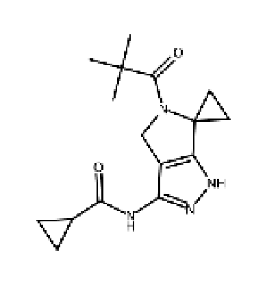 CC(C)(C)C(=O)N1Cc2c(NC(=O)C3CC3)n[nH]c2C12CC2